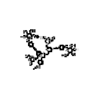 O=COCN(CC(=O)O)Cc1cc(C#Cc2ccc(OC3OC(CO)C(O)C(O)C3O)cc2)cc(CN(CCc2ccc(N=C=S)cc2)Cc2cc(C#Cc3ccc(OC4OC(CO)C(O)C(O)C4O)cc3)cc(CN(COC=O)CC(=O)O)n2)n1